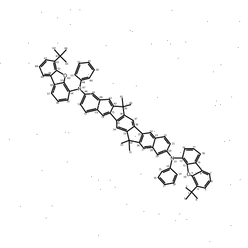 CC(C)(C)c1cccc2c1oc1c(N(c3ccccc3)c3ccc4cc5c(cc4c3)C(C)(C)c3cc4c(cc3-5)C(C)(C)c3cc5cc(N(c6ccccc6)c6cccc7c6oc6c(C(C)(C)C)cccc67)ccc5cc3-4)cccc12